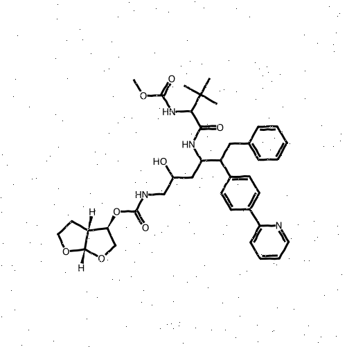 COC(=O)NC(C(=O)NC(CC(O)CNC(=O)O[C@H]1CO[C@@H]2OCC[C@@H]21)C(Cc1ccccc1)c1ccc(-c2ccccn2)cc1)C(C)(C)C